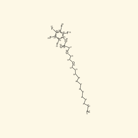 CC(=O)SCCCCCCCCCCCOCCOCC(=O)Oc1c(F)c(F)c(F)c(F)c1F